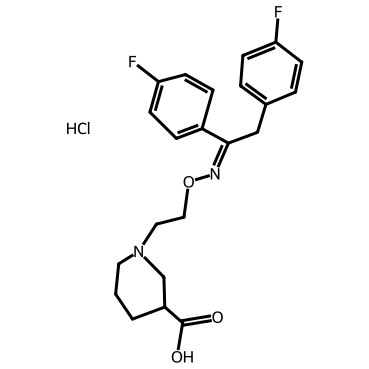 Cl.O=C(O)C1CCCN(CCON=C(Cc2ccc(F)cc2)c2ccc(F)cc2)C1